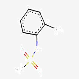 CS(=O)(=O)[N]c1ccccc1[N+](=O)[O-]